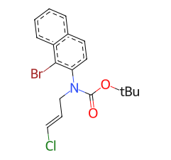 CC(C)(C)OC(=O)N(CC=CCl)c1ccc2ccccc2c1Br